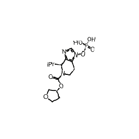 CC(C)[C@H]1c2ncn(OP(=O)(O)O)c2CCN1C(=O)O[C@H]1CCOC1